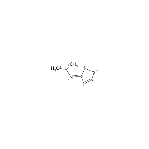 CC(C)N=C1C=CSC1